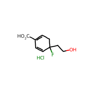 Cl.O=C(O)C1=CCC(F)(CCO)C=C1